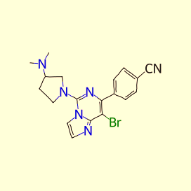 CN(C)C1CCN(c2nc(-c3ccc(C#N)cc3)c(Br)c3nccn23)C1